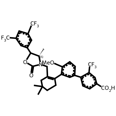 COc1ccc(-c2ccc(C(=O)O)cc2C(F)(F)F)cc1C1=C(CN2C(=O)OC(c3cc(C(F)(F)F)cc(C(F)(F)F)c3)[C@@H]2C)CC(C)(C)CC1